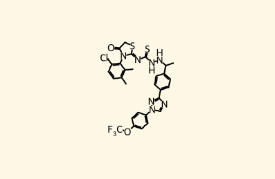 Cc1ccc(Cl)c(N2C(=O)CS/C2=N\C(=S)NNC(C)c2ccc(-c3ncn(-c4ccc(OC(F)(F)F)cc4)n3)cc2)c1C